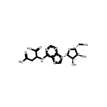 O=C(O)CC(Nc1ncnc2c1ncn2[C@@H]1O[C@H](CO)[C@@H](O)[C@H]1O)C(=O)O